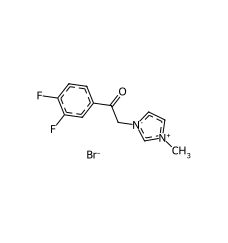 C[n+]1ccn(CC(=O)c2ccc(F)c(F)c2)c1.[Br-]